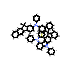 CC1(C)c2cc(N(c3ccccc3)c3ccc4c(c3)Sc3c(ccc5c3c3c(N(c6ccccc6)c6ccccc6)cccc3n5-c3ccccc3)C43c4ccccc4-c4ccccc43)ccc2-c2cc3ccccc3cc21